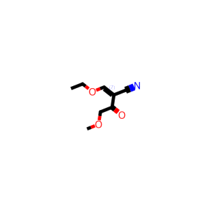 CCO/C=C(/C#N)C(=O)COC